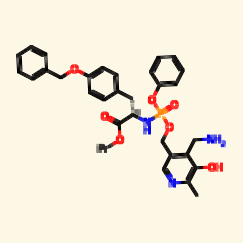 Cc1ncc(COP(=O)(N[C@@H](Cc2ccc(OCc3ccccc3)cc2)C(=O)OC(C)C)Oc2ccccc2)c(CN)c1O